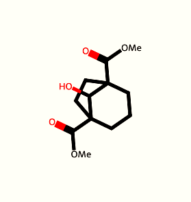 COC(=O)C12CCCC(C(=O)OC)(CC1)C2O